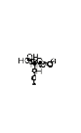 COc1cccc([C@@H](C)OC(=O)Nc2c(-c3ccc(-c4ccc(C5CC5)cc4)cc3)noc2C)c1.O=C(O)O